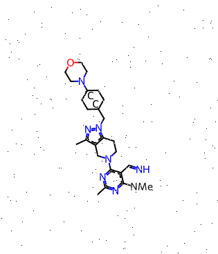 CNc1nc(C)nc(N2CCc3c(c(C)nn3CC34CCC(N5CCOCC5)(CC3)CC4)C2)c1C=N